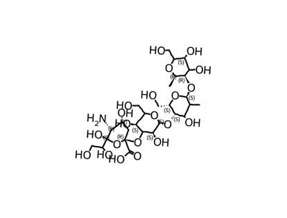 CC1C(O)[C@H](O[C@@H]2OC(CO)[C@H](O)C(O[C@]3(C(=O)O)C[C@@H](O)[C@@H](N)[C@@](O)(C(O)CO)O3)[C@@H]2O)[C@H](CO)O[C@H]1O[C@@H]1C(O)[C@H](O)C(CO)O[C@@H]1C